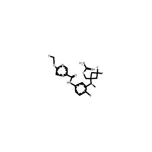 C[C@@H](c1cc(NC(=O)c2cnc(OCF)cn2)ccc1F)C1(CSC(=N)N)CC(F)(F)C1